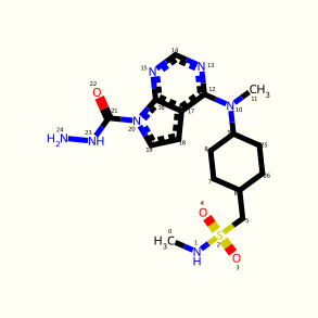 CNS(=O)(=O)CC1CCC(N(C)c2ncnc3c2ccn3C(=O)NN)CC1